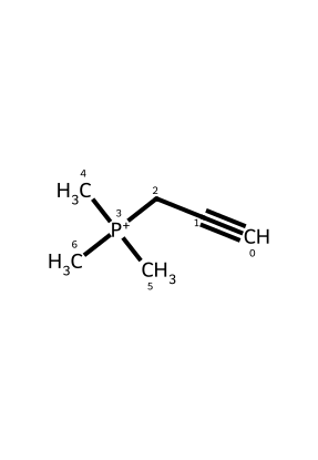 C#CC[P+](C)(C)C